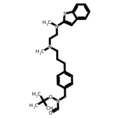 CN(CCCc1ccc(CN(C=O)OC(C)(C)C)cc1)CCN(C)c1cc2ccccc2s1